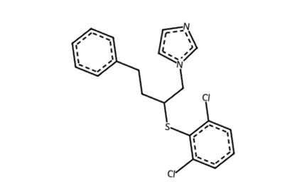 Clc1cccc(Cl)c1SC(CCc1ccccc1)Cn1ccnc1